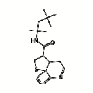 CC(C)(C)CC(C)(C)NC(=O)C1CSC23CC=CC=C2N=CCC13